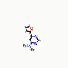 CCN(CC)c1cc(-c2ccco2)ncn1